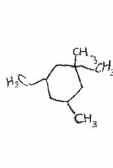 C[C]1CC(C)CC(C)(C)C1